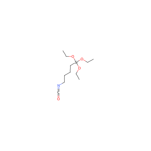 CCO[Si](CCCCN=C=O)(OCC)OCC